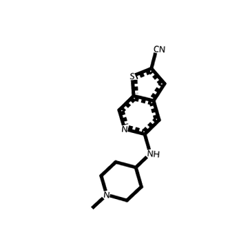 CN1CCC(Nc2cc3cc(C#N)sc3cn2)CC1